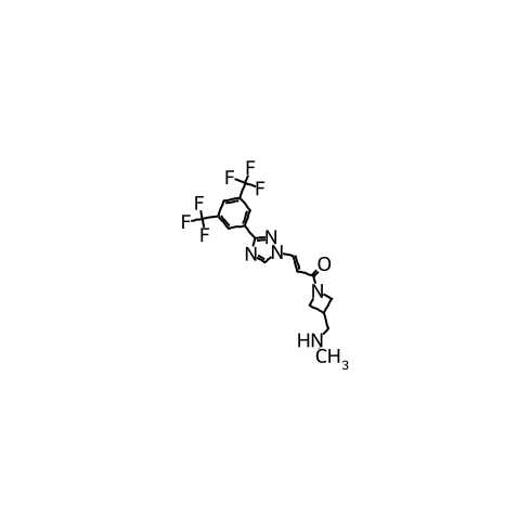 CNCC1CN(C(=O)C=Cn2cnc(-c3cc(C(F)(F)F)cc(C(F)(F)F)c3)n2)C1